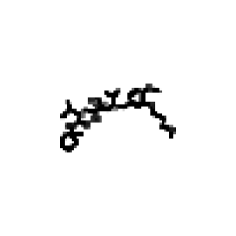 COCCCOc1cc(C[C@@H](C[C@H](N)[C@@H](O)C[C@H](C(=O)NC2(C)CCCC2)C(C)C)C(C)C)ccc1OC